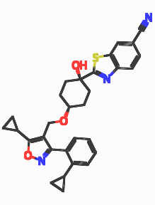 N#Cc1ccc2nc([C@]3(O)CC[C@@H](OCc4c(-c5ccccc5C5CC5)noc4C4CC4)CC3)sc2c1